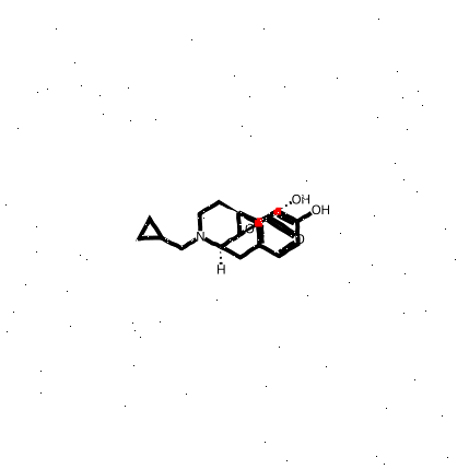 O=C1O[C@@]23CC[C@]1(O)C[C@@]21CCN(CC2CC2)[C@@H]3Cc2ccc(O)cc21